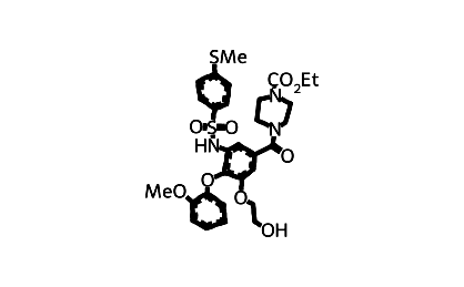 CCOC(=O)N1CCN(C(=O)c2cc(NS(=O)(=O)c3ccc(SC)cc3)c(Oc3ccccc3OC)c(OCCO)c2)CC1